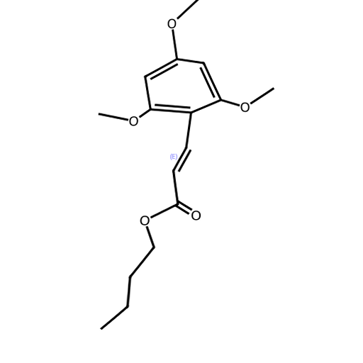 CCCCOC(=O)/C=C/c1c(OC)cc(OC)cc1OC